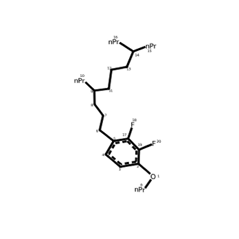 CCCOc1ccc(CCCC(CCC)CCCC(CCC)CCC)c(F)c1F